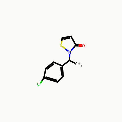 CC(c1ccc(Cl)cc1)n1sccc1=O